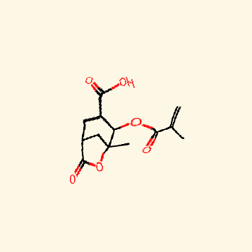 C=C(C)C(=O)OC1C(C(=O)O)CC2CC1(C)OC2=O